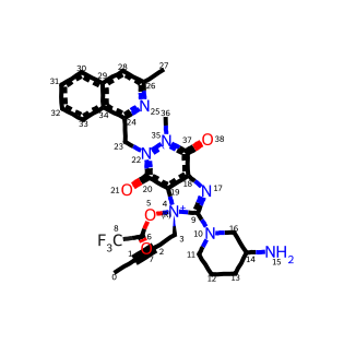 CC#CC[N@+]1(OC(=O)C(F)(F)F)C(N2CCCC(N)C2)=Nc2c1c(=O)n(Cc1nc(C)cc3ccccc13)n(C)c2=O